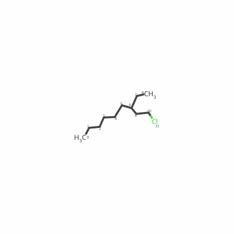 CCCCCCC(CC)CCCl